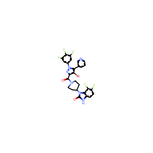 O=C(c1nn(-c2cc(F)c(F)c(F)c2)c(-c2cccnc2)c1Br)N1CCC(n2c(=O)[nH]c3ccc(F)c(F)c32)CC1